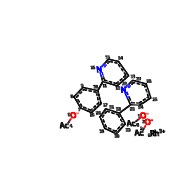 CC(=O)[O-].CC(=O)[O-].CC(=O)[O-].[Rh+3].c1ccc(-c2ccccn2)cc1.c1ccc(-c2ccccn2)cc1